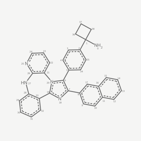 NC1(c2ccc(-c3c(-c4ccc5ccccc5c4)nc4n3-c3cccnc3Nc3ccccc3-4)cc2)CCC1